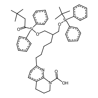 CC(C)(C)CC(=O)[Si](OCC(CCCCc1ccc2c(n1)N(C(=O)O)CCC2)CO[Si](c1ccccc1)(c1ccccc1)C(C)(C)C)(c1ccccc1)c1ccccc1